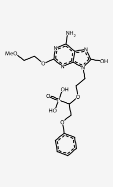 COCCOc1nc(N)c2nc(O)n(CCOC(COc3ccccc3)P(=O)(O)O)c2n1